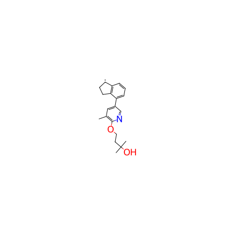 Cc1cc(-c2cccc3c2CC[CH]3)cnc1OCCC(C)(C)O